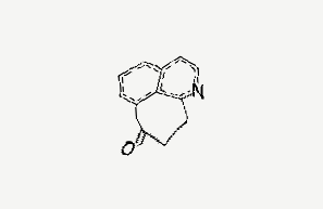 O=C1CCc2nccc3cccc1c23